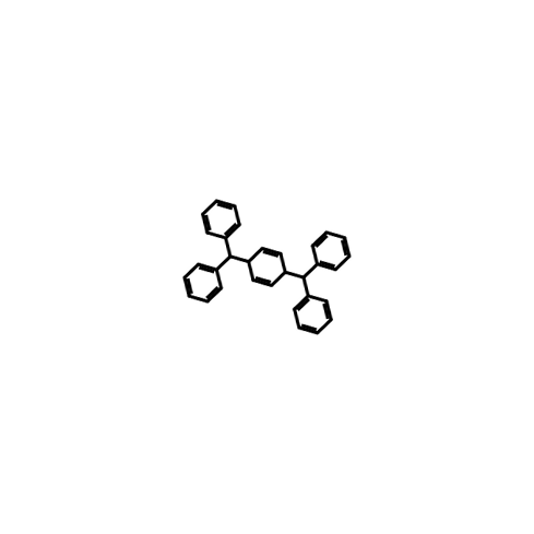 C1=CC(C(c2ccccc2)c2ccccc2)C=CC1C(c1ccccc1)c1ccccc1